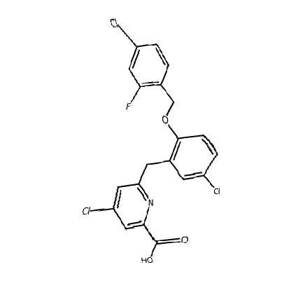 O=C(O)c1cc(Cl)cc(Cc2cc(Cl)ccc2OCc2ccc(Cl)cc2F)n1